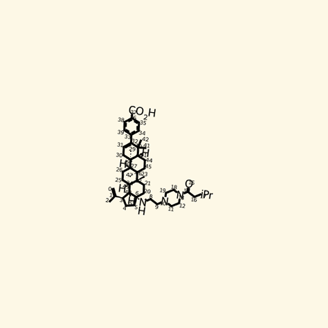 C=C(C)[C@@H]1CC[C@]2(NCCN3CCN(C(=O)CC(C)C)CC3)CC[C@]3(C)[C@H](CC[C@@H]4[C@@]5(C)CC=C(c6ccc(C(=O)O)cc6)C(C)(C)[C@@H]5CC[C@]43C)[C@@H]12